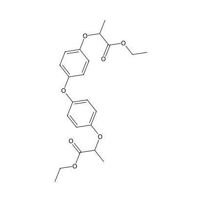 CCOC(=O)C(C)Oc1ccc(Oc2ccc(OC(C)C(=O)OCC)cc2)cc1